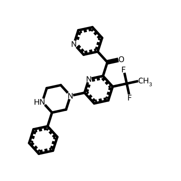 CC(F)(F)c1ccc(N2CCNC(c3ccccc3)C2)nc1C(=O)c1cccnc1